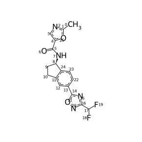 Cc1ncc(C(=O)N[C@@H]2CCc3cc(-c4nc(C(F)F)no4)ccc32)o1